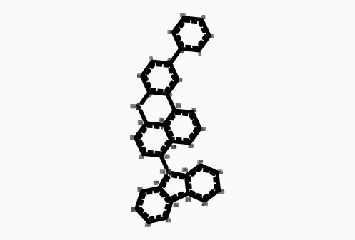 c1ccc(-c2ccc3c(c2)-c2cccc4c(-n5c6ccccc6c6ccccc65)ccc(c24)S3)cc1